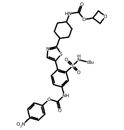 CC(C)(C)NS(=O)(=O)c1cc(NC(=O)Oc2ccc([N+](=O)[O-])cc2)ccc1-c1cnc(C2CCC(NC(=O)OC3COC3)CC2)s1